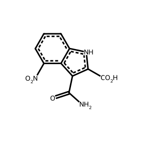 NC(=O)c1c(C(=O)O)[nH]c2cccc([N+](=O)[O-])c12